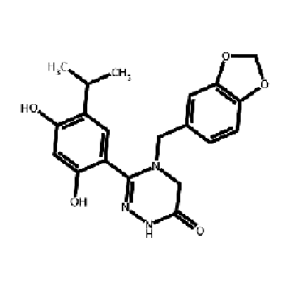 CC(C)c1cc(C2=NNC(=O)CN2Cc2ccc3c(c2)OCO3)c(O)cc1O